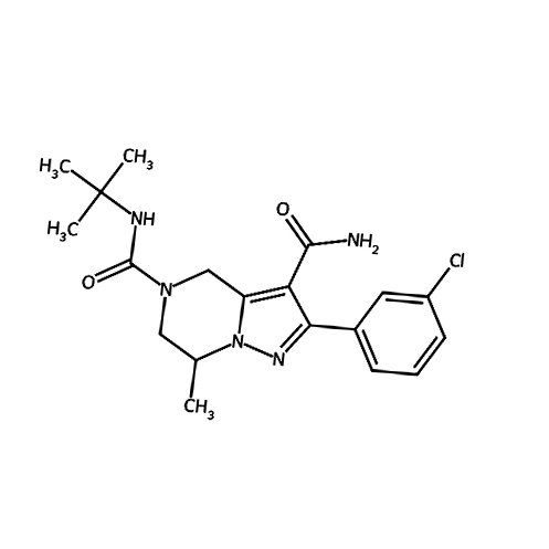 CC1CN(C(=O)NC(C)(C)C)Cc2c(C(N)=O)c(-c3cccc(Cl)c3)nn21